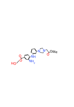 COC(=O)CN1CCN(c2cccc(Nc3ccc(C(=O)OCCO)cc3N)c2)CC1